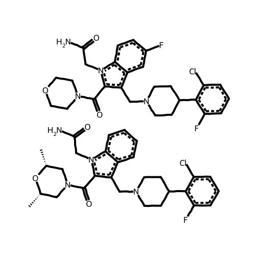 C[C@@H]1CN(C(=O)c2c(CN3CCC(c4c(F)cccc4Cl)CC3)c3ccccc3n2CC(N)=O)C[C@H](C)O1.NC(=O)Cn1c(C(=O)N2CCOCC2)c(CN2CCC(c3c(F)cccc3Cl)CC2)c2cc(F)ccc21